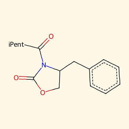 CCCC(C)C(=O)N1C(=O)OCC1Cc1ccccc1